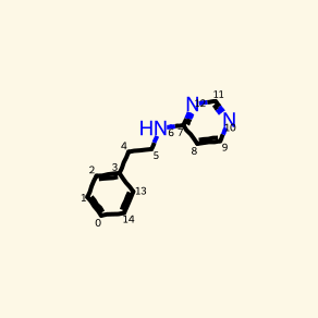 c1ccc(CCNc2ccncn2)cc1